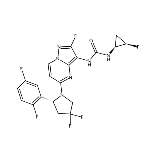 O=C(Nc1c(F)nn2ccc(N3CC(F)(F)C[C@@H]3c3cc(F)ccc3F)nc12)N[C@H]1C[C@H]1F